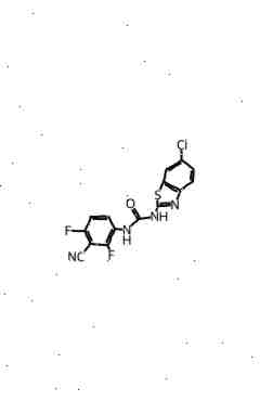 N#Cc1c(F)ccc(NC(=O)Nc2nc3ccc(Cl)cc3s2)c1F